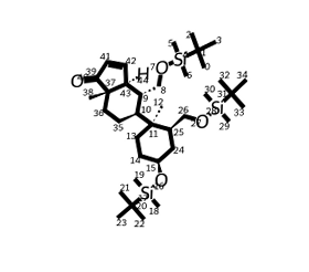 CC(C)(C)[Si](C)(C)OC[C@@H]1[C@@H]([C@]2(C)CC[C@H](O[Si](C)(C)C(C)(C)C)C[C@@H]2CO[Si](C)(C)C(C)(C)C)CC[C@]2(C)C(=O)C=C[C@@H]12